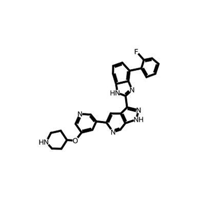 Fc1ccccc1-c1cccc2[nH]c(-c3n[nH]c4cnc(-c5cncc(OC6CCNCC6)c5)cc34)nc12